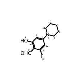 O=Cc1c(O)cc(N2CCCCC2)cc1F